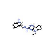 CCn1c2ccccc2c2nnc(NN=Cc3c[nH]c4ccccc34)nc21